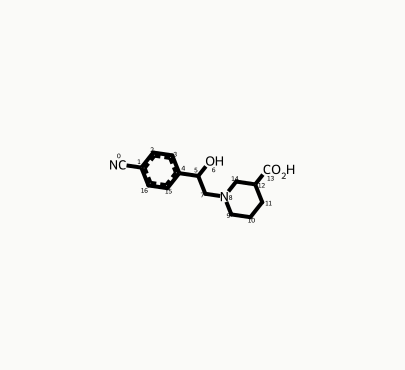 N#Cc1ccc(C(O)CN2CCCC(C(=O)O)C2)cc1